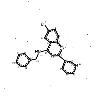 Brc1ccc2nc(-c3cccnc3)nc(NCc3ccccc3)c2c1